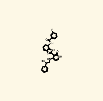 O=C(Nc1cccc2nc(-c3c(NC[C@H](O)c4ccccc4)cc[nH]c3=O)[nH]c12)c1cccc(F)c1